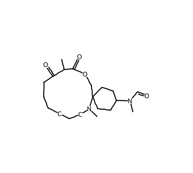 CC1C(=O)CCCCCCN(C)C2(CCC(N(C)C=O)CC2)COC1=O